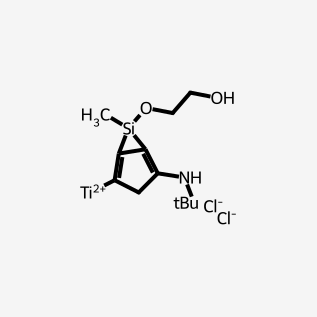 CC(C)(C)NC1=C2C(=[C]([Ti+2])C1)[Si]2(C)OCCO.[Cl-].[Cl-]